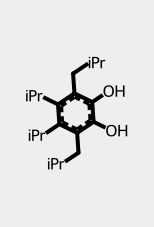 CC(C)Cc1c(O)c(O)c(CC(C)C)c(C(C)C)c1C(C)C